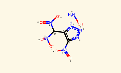 NO.O=[N+]([O-])c1nn[nH]c1C([N+](=O)[O-])[N+](=O)[O-]